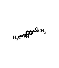 C=CC(=O)CCc1ccc2c(c1)CCc1c-2noc1CCCC